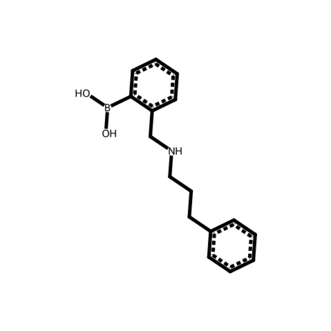 OB(O)c1ccccc1CNCCCc1ccccc1